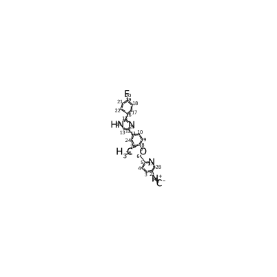 [C-]#[N+]c1ccc(COc2ccc(-c3c[nH]c(-c4ccc(F)cc4)n3)cc2C)nc1